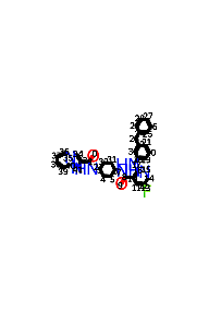 O=C(N[C@H]1CC[C@@H](NC(=O)c2cc(F)cnc2Nc2cccc(Cc3ccccc3)c2)CC1)c1cn2ccccc2n1